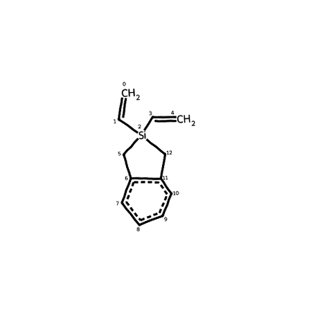 C=C[Si]1(C=C)Cc2ccccc2C1